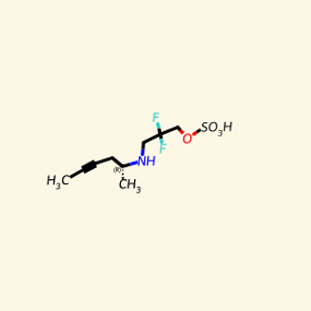 CC#CC[C@@H](C)NCC(F)(F)COS(=O)(=O)O